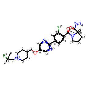 CC(C)(F)CN1CCC(COc2cnc(-c3ccc(C(=O)N4CCCC4(C)C(N)=O)c(F)c3)nc2)CC1